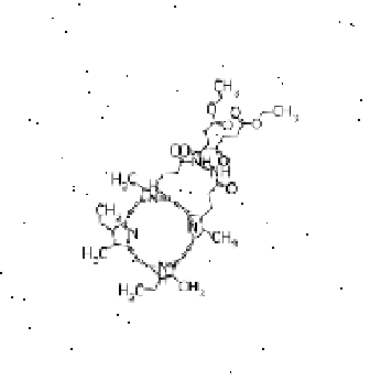 C=CC1=C(C)c2cc3[nH]c(cc4nc(cc5[nH]c(cc1n2)c(C)c5CCC(=O)NCC(=O)CCC(=O)OCC)C(CCC(=O)NCC(=O)CCC(=O)OCC)=C4C)c(C)c3C=C